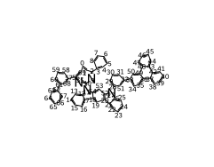 C1=C/C(c2ccccc2)=N\C(n2c3ccccc3c3cc4c5ccccc5n(-c5cccc(-c6ccc7c8ccccc8c8ccccc8c7c6)c5)c4cc32)=N/C(c2cccc(-c3ccccc3)c2)=C/1